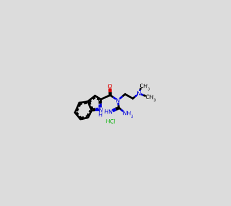 CN(C)CCN(C(=N)N)C(=O)c1cc2ccccc2[nH]1.Cl